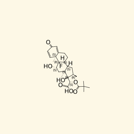 C[C@@H]1C[C@H]2[C@@H]3CCC4=CC(=O)C=C[C@]4(C)[C@@]3(F)[C@@H](O)C[C@]2(C)[C@@]1(O)[C@H](OC(=O)C(C)(C)C)C(=O)O